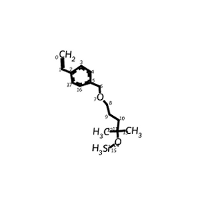 C=Cc1ccc(COCCCC(C)(C)O[SiH3])cc1